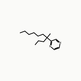 CCCCCCC(C)(CCC)c1cnccn1